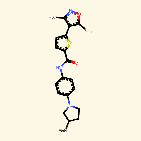 CNC1CCN(c2ccc(NC(=O)c3ccc(-c4c(C)noc4C)s3)cc2)C1